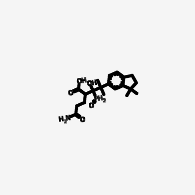 CC1(C)CCc2ccc(C(C)(C)C(O)([PH2]=O)C(CCC(N)=O)C(=O)O)cc21